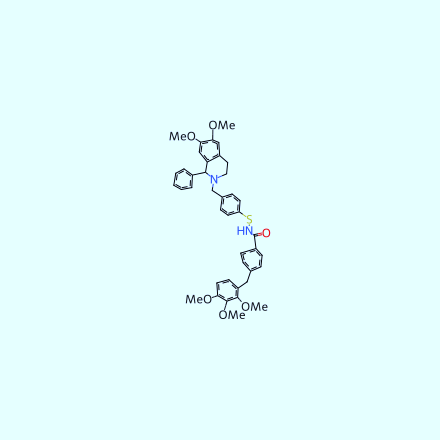 COc1cc2c(cc1OC)C(c1ccccc1)N(Cc1ccc(SNC(=O)c3ccc(Cc4ccc(OC)c(OC)c4OC)cc3)cc1)CC2